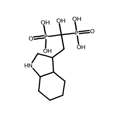 O=P(O)(O)C(O)(CC1CNC2CCCCC12)P(=O)(O)O